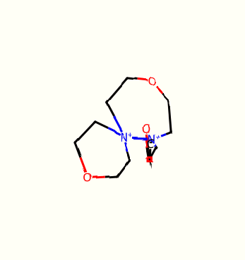 C1C[N+]2(CCO1)CCOCC[N+]21CCOCC1